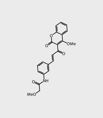 COCC(=O)Nc1cccc(C=CC(=O)c2c(OC)c3ccccc3oc2=O)c1